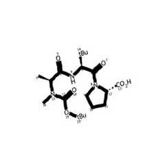 C[C@@H](C(=O)N[C@H](C(=O)N1CCC[C@H]1C(=O)O)C(C)(C)C)N(C)C(=O)OC(C)(C)C